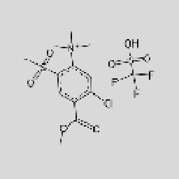 COC(=O)c1cc(S(C)(=O)=O)c([N+](C)(C)C)cc1Cl.O=S(=O)(O)C(F)(F)F